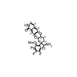 CCC(N)C1(c2cc(F)c(F)c(F)c2OC)CCC(Oc2cc3cc[nH]c(=O)c3cc2Cl)CC1